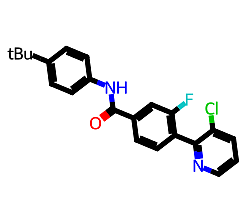 CC(C)(C)c1ccc(NC(=O)c2ccc(-c3ncccc3Cl)c(F)c2)cc1